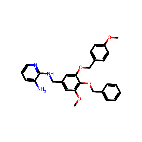 COc1ccc(COc2cc(CNc3ncccc3N)cc(OC)c2OCc2ccccc2)cc1